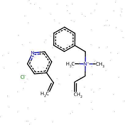 C=CC[N+](C)(C)Cc1ccccc1.C=Cc1ccncc1.[Cl-]